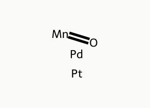 [O]=[Mn].[Pd].[Pt]